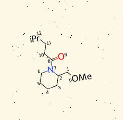 COCC1CCCCN1C(=O)CCC(C)C